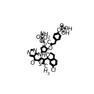 C=C(Cc1ccc(OP(=O)(O)O)cc1)O[C@H]1C[C@H](Nc2ncncc2C(=O)c2cc(C3OCCc4ccc(Cl)cc43)c(C)s2)C[C@@H]1COS(N)(=O)=O